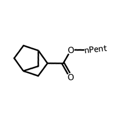 CCCCCOC(=O)C1CC2CCC1C2